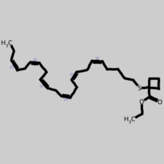 CC/C=C\C/C=C\C/C=C\C/C=C\C/C=C\C/C=C\CCCCSC1(C(=O)OCC)CCC1